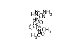 CC(=O)N1C[C@H](c2ccccc2)N(C(=O)C(=O)Nc2cnc(N)c3cn[nH]c23)C[C@H]1C